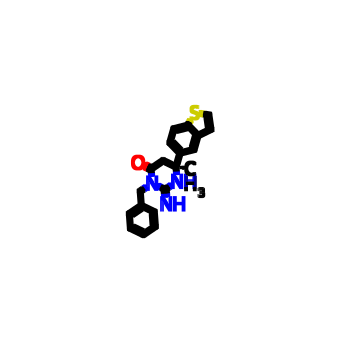 C[C@@]1(c2ccc3sccc3c2)CC(=O)N(Cc2ccccc2)C(=N)N1